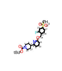 CC(C)(C)OC(=O)N1CCC(c2cccc(OCc3ccc(S(C)(=O)=O)cc3F)n2)CC1